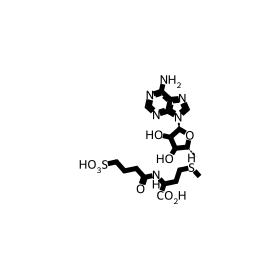 C[SH](CCC(NC(=O)CCCS(=O)(=O)O)C(=O)O)C[C@H]1O[C@@H](n2cnc3c(N)ncnc32)C(O)C1O